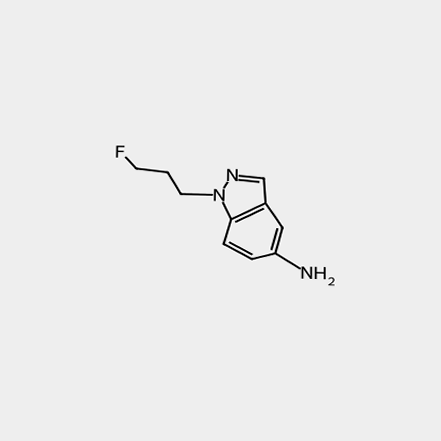 Nc1ccc2c(cnn2CCCF)c1